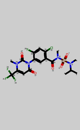 CC(C)N(C)S(=O)(=O)N(C)C(=O)c1cc(-n2c(=O)cc(C(F)(F)F)n(C)c2=O)c(F)cc1Cl